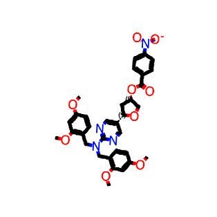 COc1ccc(CN(Cc2ccc(OC)cc2OC)c2ncc([C@@H]3C[C@H](OC(=O)c4ccc([N+](=O)[O-])cc4)CO3)cn2)c(OC)c1